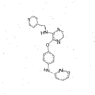 c1ccc(Nc2ccc(Oc3nccnc3NCc3ccncc3)cc2)nc1